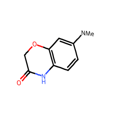 CNc1ccc2c(c1)OCC(=O)N2